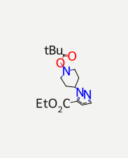 CCOC(=O)c1ccnn1C1CCN(OC(=O)C(C)(C)C)CC1